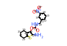 Nc1sc2c(c1OC(=O)NCc1cccc([N+](=O)[O-])c1)CCCC2